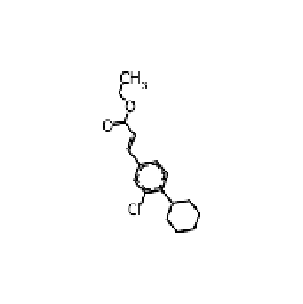 CCOC(=O)C=Cc1ccc(C2CCCCC2)c(Cl)c1